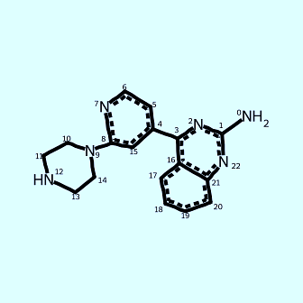 Nc1nc(-c2ccnc(N3CCNCC3)c2)c2ccccc2n1